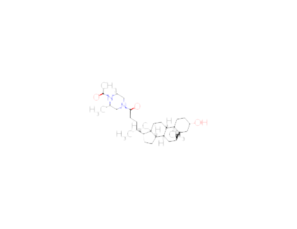 CC(=O)N1CCN(C(=O)CC[C@@H](C)[C@H]2CC[C@H]3[C@@H]4CC=C5C[C@@H](O)CC[C@]5(C)[C@H]4CC[C@]23C)C[C@H]1C